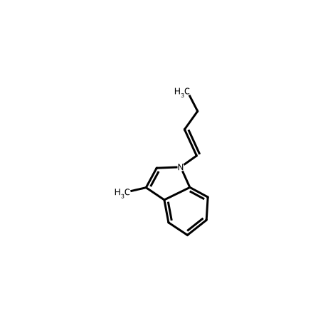 CCC=Cn1cc(C)c2ccccc21